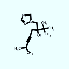 CC(C)C#CCC(O)(Cn1cncn1)C(C)(C)C